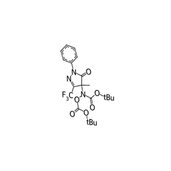 CC(C)(C)OC(=O)ON(C(=O)OC(C)(C)C)C1(C)C(=O)N(c2ccccc2)N=C1C(F)(F)F